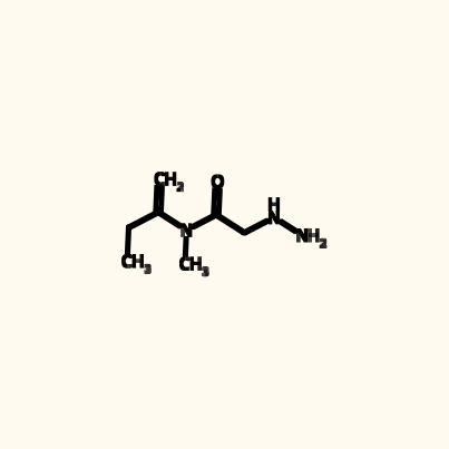 C=C(CC)N(C)C(=O)CNN